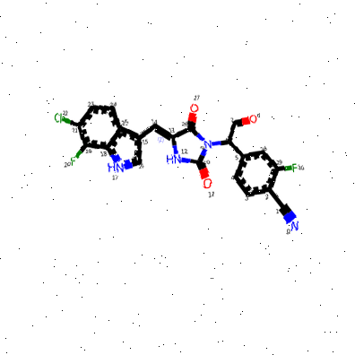 N#Cc1ccc(C(C=O)N2C(=O)N/C(=C\c3c[nH]c4c(F)c(Cl)ccc34)C2=O)cc1F